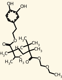 CCOCOC(=O)C(C)(CCC(C)(C(=O)OCCc1ccc(O)c(O)c1)C(C)C)C(C)(C)C